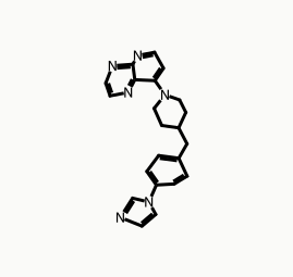 c1cn(-c2ccc(CC3CCN(c4ccnc5nccnc45)CC3)cc2)cn1